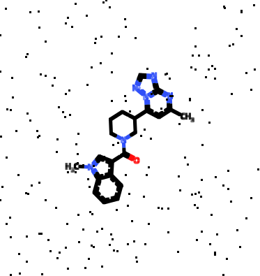 Cc1cc(C2CCCN(C(=O)c3cn(C)c4ccccc34)C2)n2ncnc2n1